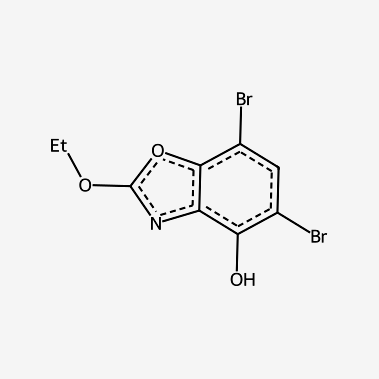 CCOc1nc2c(O)c(Br)cc(Br)c2o1